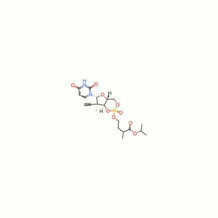 C#C[C@]1(C)[C@@H]2OP(=O)(OCCC(C)C(=O)OC(C)C)OC[C@H]2O[C@H]1n1ccc(=O)[nH]c1=O